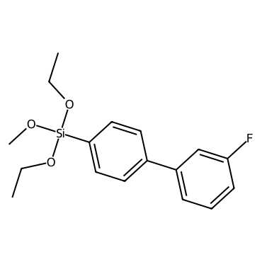 CCO[Si](OC)(OCC)c1ccc(-c2cccc(F)c2)cc1